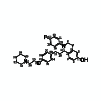 Oc1ccc2c(c1)CCN(c1ccc(F)cc1)C2CCc1ccc(OCCN2CCCCC2)cc1